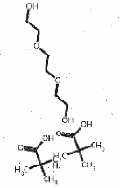 CC(C)(C)C(=O)O.CC(C)(C)C(=O)O.OCCOCCOCCO